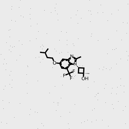 Cc1nc2cc(OCCC(C)C)cc(C(F)(F)F)c2n1[C@H]1C[C@](C)(O)C1